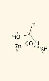 CC(O)C(=O)O.[KH].[Zn]